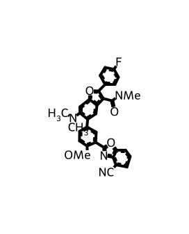 CNC(=O)c1c(-c2ccc(F)cc2)oc2cc(N(C)C)c(-c3ccc(OC)c(-c4nc5c(C#N)cccc5o4)c3)cc12